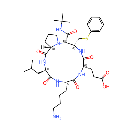 CC(C)C[C@H]1NC(=O)[C@@H]2CCCN2[C@H](C(=O)NC(C)(C)C)[C@H](CSc2ccccc2)NC(=O)[C@H](CCC(=O)O)NC(=O)[C@H](CCCCN)NC1=O